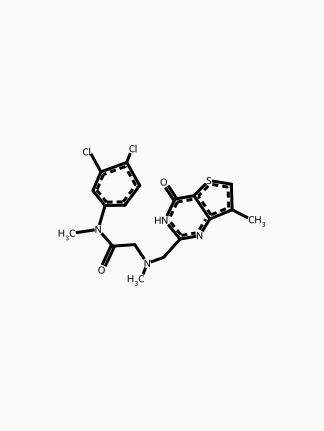 Cc1csc2c(=O)[nH]c(CN(C)CC(=O)N(C)c3ccc(Cl)c(Cl)c3)nc12